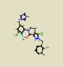 Cc1cccc(Cn2nc3c(c2Cl)CCN(c2cc(Cn4ccnc4)cc(Cl)c2F)C3=O)c1F